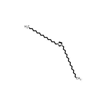 CCCCCCCCCCCCCCCCCN1C=CN(CCCCCCCCCCCCCCCC)C1